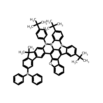 CC(C)(C)c1ccc(N2B3c4cc(C(C)(C)C)ccc4-n4c5ccc(C(C)(C)C)cc5c5c6c(oc7ccccc76)c(c3c54)-c3cc4c(cc32)C(C)(C)c2ccc(N(c3ccccc3)c3ccccc3)cc2-4)cc1